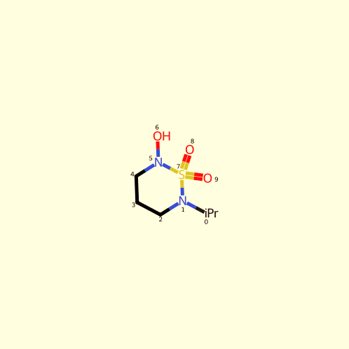 CC(C)N1CCCN(O)S1(=O)=O